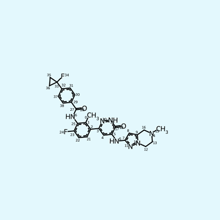 Cc1c(-c2cc(Nc3cc4n(n3)CCN(C)C4)c(=O)[nH]n2)ccc(F)c1NC(=O)c1ccc(C2(F)CC2)cc1